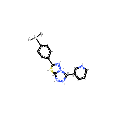 CC[As](CC)c1ccc(-c2nn3c(-c4cccnc4)nnc3s2)cc1